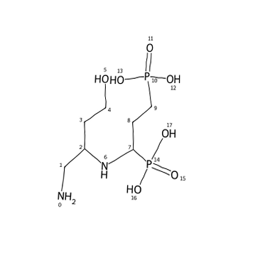 NCC(CCO)NC(CCP(=O)(O)O)P(=O)(O)O